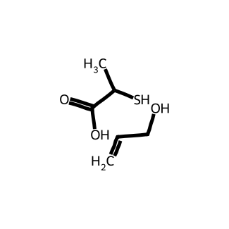 C=CCO.CC(S)C(=O)O